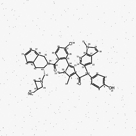 Cc1c(C(=O)N(c2ccc(O)cc2)c2cnc3c(ccn3C)c2)cc(-c2cc(Cl)ccc2C(=O)N2Cc3ccccc3C[C@H]2CN2CC(C#N)C2)n1C